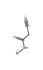 N#CCC(=O)NBr